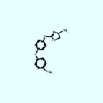 COc1ccc(Sc2ccc(NC3=NC(C)CN3)cc2)cc1